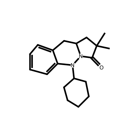 CC1(C)CC2Cc3ccccc3N(C3CCCCC3)N2C1=O